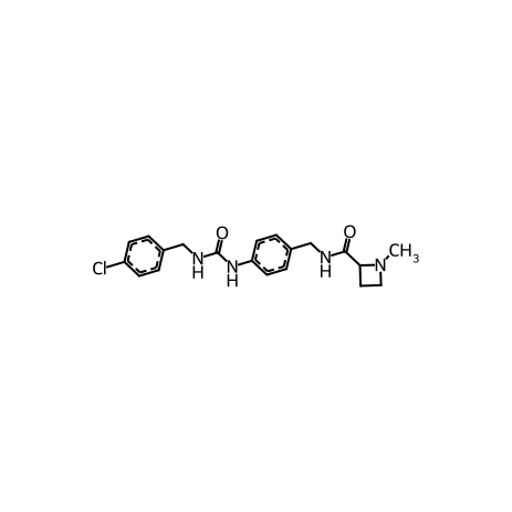 CN1CCC1C(=O)NCc1ccc(NC(=O)NCc2ccc(Cl)cc2)cc1